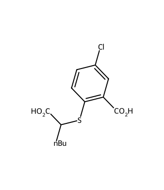 CCCCC(Sc1ccc(Cl)cc1C(=O)O)C(=O)O